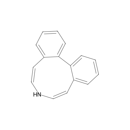 c1ccc2c(c1)cc[nH]ccc1ccccc12